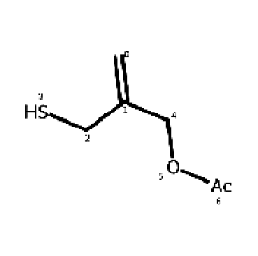 C=C(CS)COC(C)=O